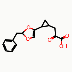 O=C(O)C(=O)CC1CC1C1=COC(Cc2ccccc2)O1